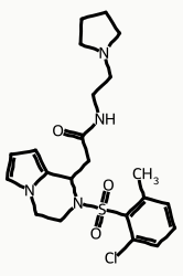 Cc1cccc(Cl)c1S(=O)(=O)N1CCn2cccc2C1CC(=O)NCCN1CCCC1